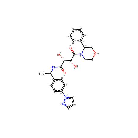 C[C@@H](NC(=O)[C@H](O)[C@@H](O)C(=O)N1CCOCC1c1ccccc1)c1ccc(-n2cccn2)cc1